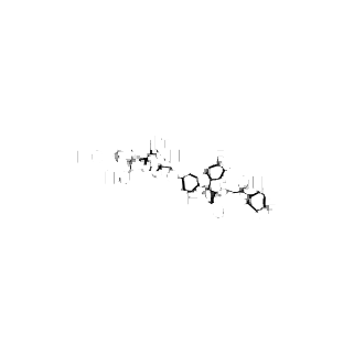 CC(C)[C@@H](NC(=O)COc1ccc([C@]2(c3ccc(F)cc3)NC(=O)[C@@H]2SCC(O)c2ccc(F)cc2)cc1)C(=O)N[C@@H](CO)C(=O)O